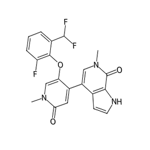 Cn1cc(Oc2c(F)cccc2C(F)F)c(-c2cn(C)c(=O)c3[nH]ccc23)cc1=O